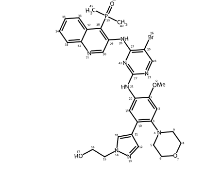 COc1cc(N2CCOCC2)c(-c2cnn(CCO)c2)cc1Nc1ncc(Br)c(Nc2cnc3ccccc3c2P(C)(C)=O)n1